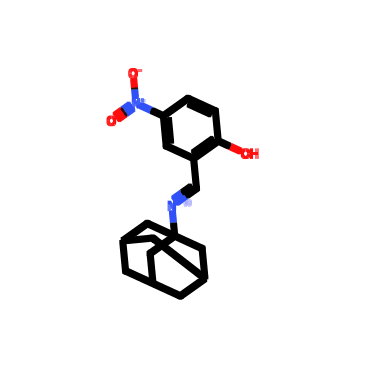 O=[N+]([O-])c1ccc(O)c(/C=N/C23CC4CC(CC(C4)C2)C3)c1